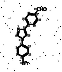 CCCc1ccc(-n2cnc(-c3ccc(C=O)cc3)c2)cc1